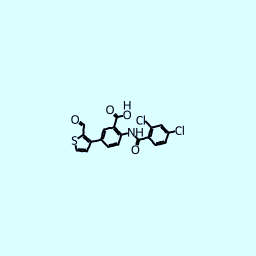 O=Cc1sccc1-c1ccc(NC(=O)c2ccc(Cl)cc2Cl)c(C(=O)O)c1